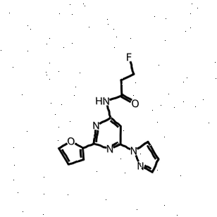 O=C(CCF)Nc1cc(-n2cccn2)nc(-c2ccco2)n1